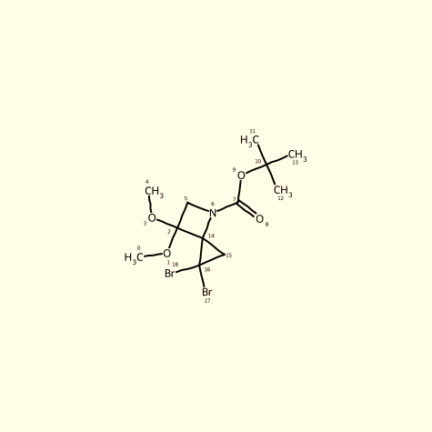 COC1(OC)CN(C(=O)OC(C)(C)C)C12CC2(Br)Br